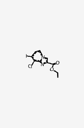 CCOC(=O)c1cn2ccc(I)c(Cl)c2n1